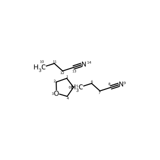 C1CCOC1.CCCC#N.CCCC#N